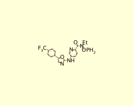 CCN(OP)C(=O)c1ccc(Nc2ncc(-c3ccc(C(F)(F)F)cc3)o2)cn1